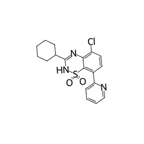 O=S1(=O)NC(C2CCCCC2)=Nc2c(Cl)ccc(-c3ccccn3)c21